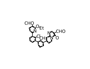 CCOc1nc(-c2cccc(-c3cccc(-c4ccn5c(=O)c(C=O)cnc5c4)c3C)c2Cl)ccc1C=O